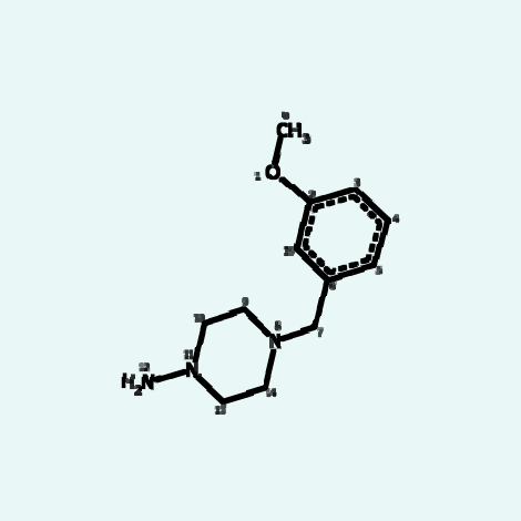 COc1cccc(CN2CCN(N)CC2)c1